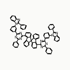 c1ccc(-c2nc(-c3cccc(-n4c(-c5ccccc5)nc5ccccc54)c3)nc(-c3cccc4c3-c3ccccc3C43c4ccccc4-c4c(-c5nc(-c6ccccc6)nc(-c6cccc(-n7c(-c8ccccc8)nc8ccccc87)c6)n5)cccc43)n2)cc1